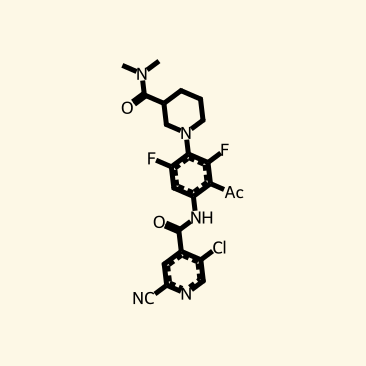 CC(=O)c1c(NC(=O)c2cc(C#N)ncc2Cl)cc(F)c(N2CCCC(C(=O)N(C)C)C2)c1F